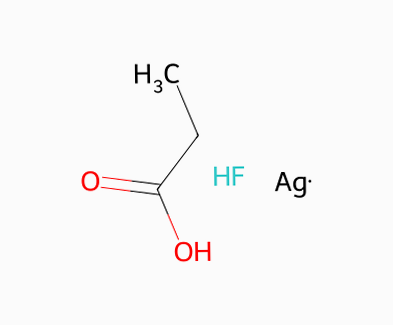 CCC(=O)O.F.[Ag]